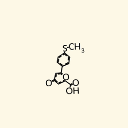 CSc1ccc(-c2cc(=O)cc(C(=O)O)o2)cc1